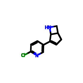 Clc1ccc(C2=CCC3CNC23)cn1